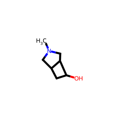 CN1CC2CC(O)C2C1